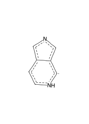 [c]1[nH]ccc2cncc1-2